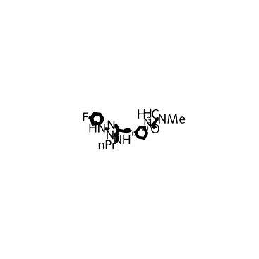 CCCNc1nc(Nc2cccc(F)c2)ncc1C#C[C@H]1CCC[C@@H](NC(=O)C(C)NC)C1